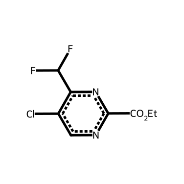 CCOC(=O)c1ncc(Cl)c(C(F)F)n1